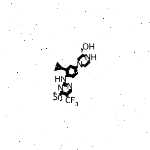 [CH3][Sn]([CH3])([CH3])[c]1nc(Nc2ccc(N3CCN[C@@H](CO)C3)cc2C2CC2)ncc1C(F)(F)F